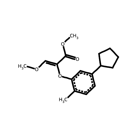 CO/C=C(\Oc1cc(C2CCCC2)ccc1C)C(=O)OC